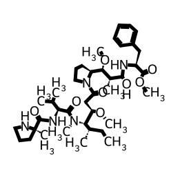 CC[C@H](C)[C@@H]([C@@H](CC(=O)N1CCC[C@H]1[C@H](OC)[C@@H](C)C(O)N[C@@H](Cc1ccccc1)C(=O)OC)OC)N(C)C(=O)[C@@H](NC(=O)[C@@]1(C)CCCN1)C(C)C